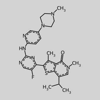 Cc1c(-c2nc(Nc3ccc(N4CCN(C)CC4)cn3)ncc2F)sc2c(C(C)C)cn(C)c(=O)c12